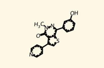 Cn1nc(-c2cccc(O)c2)c2scc(-c3ccncc3)c2c1=O